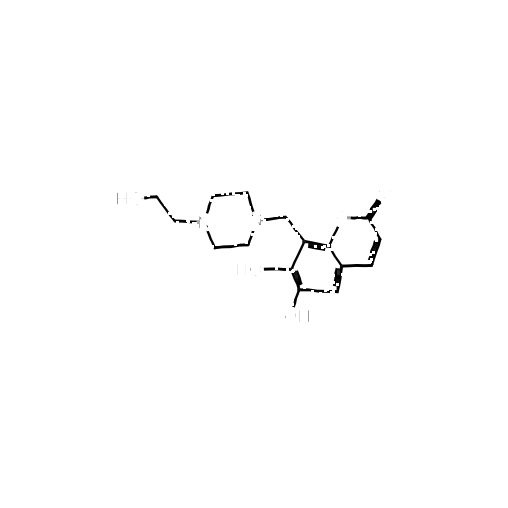 O=c1ccc2cc(O)c(O)c(CN3CCN(CCO)CC3)c2o1